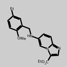 CCOC(=O)c1cnc2ccc(NCc3cc(CC)ccc3OC)cn12